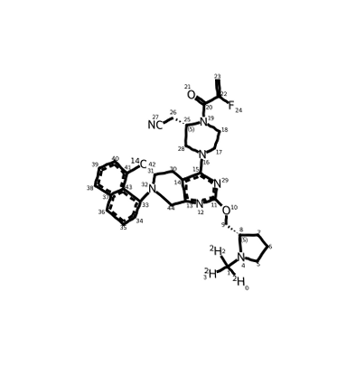 [2H]C([2H])([2H])N1CCC[C@H]1COc1nc2c(c(N3CCN(C(=O)C(=C)F)[C@@H](CC#N)C3)n1)CCN(c1cccc3cccc([14CH3])c13)C2